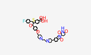 O=C1CCC(N2Cc3cc(C4CCN(CCCN5CCC(COc6ccc(C(=O)c7c(-c8ccc(F)cc8)sc8cc(B(O)O)ccc78)cc6)CC5)CC4)ccc3C2=O)C(=O)N1